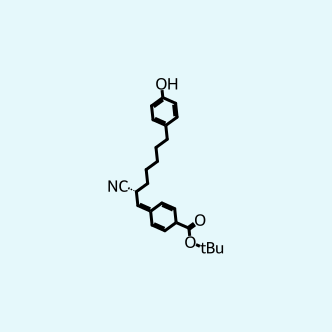 CC(C)(C)OC(=O)C1C=CC(=C[C@H](C#N)CCCCCc2ccc(O)cc2)C=C1